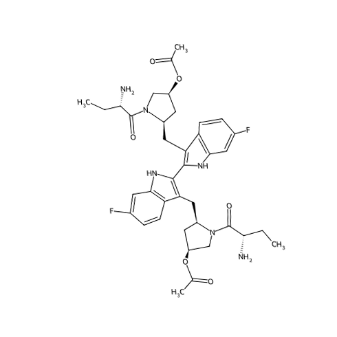 CC[C@H](N)C(=O)N1C[C@@H](OC(C)=O)C[C@H]1Cc1c(-c2[nH]c3cc(F)ccc3c2C[C@@H]2C[C@H](OC(C)=O)CN2C(=O)[C@@H](N)CC)[nH]c2cc(F)ccc12